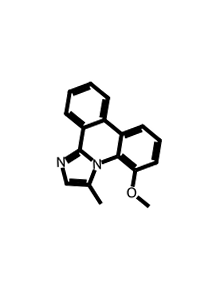 COc1cccc2c3ccccc3c3ncc(C)n3c12